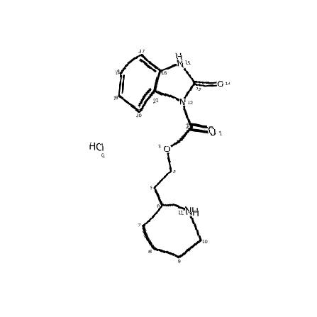 Cl.O=C(OCCC1CCCCN1)n1c(=O)[nH]c2ccccc21